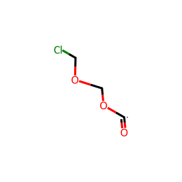 O=[C]OCOCCl